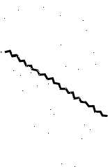 [CH2]CC=CCCCCCCCCCCCCCCCCCCCCCCCCCC